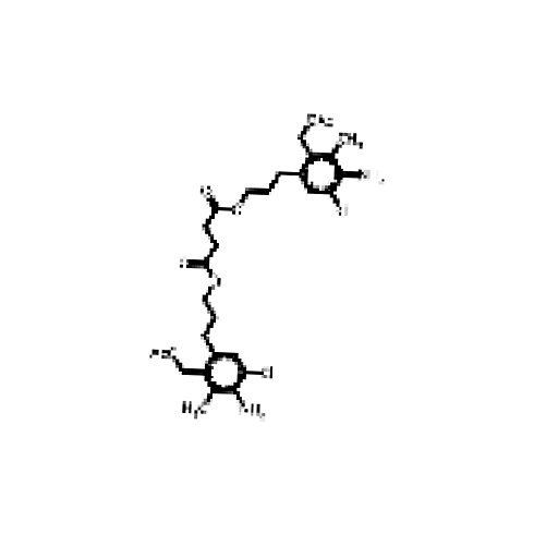 CC(=O)OCc1c(CCCOC(=O)CCC(=O)OCCCc2cc(Cl)c(N)c(C)c2COC(C)=O)cc(Cl)c(N)c1C